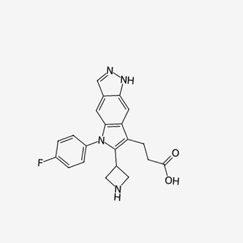 O=C(O)CCc1c(C2CNC2)n(-c2ccc(F)cc2)c2cc3cn[nH]c3cc12